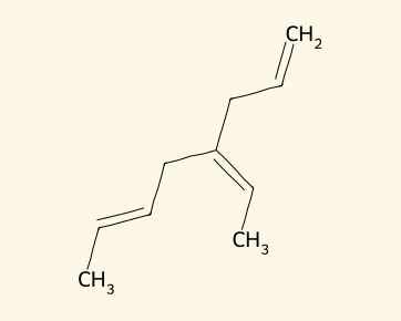 C=CCC(=CC)CC=CC